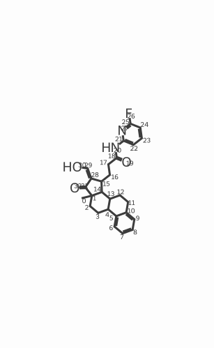 CC12CCC3c4ccccc4CCC3C1C(CCC(=O)Nc1cccc(F)n1)/C(=C/O)C2=O